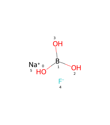 OB(O)O.[F-].[Na+]